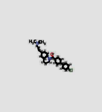 CN(C)CC=Cc1ccc2c(c1)CCCN2C(=O)c1ccc(-c2ccc(Cl)cc2)cc1